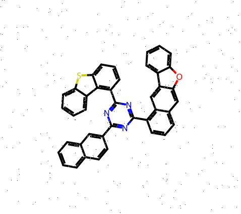 c1ccc2cc(-c3nc(-c4cccc5cc6oc7ccccc7c6cc45)nc(-c4cccc5sc6ccccc6c45)n3)ccc2c1